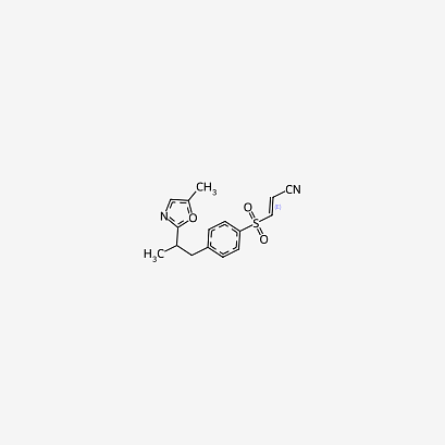 Cc1cnc(C(C)Cc2ccc(S(=O)(=O)/C=C/C#N)cc2)o1